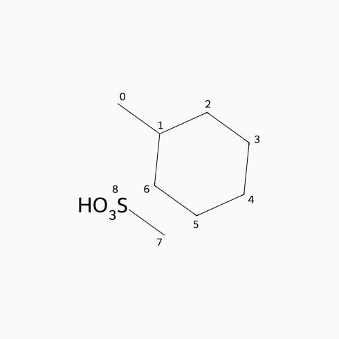 CC1CCCCC1.CS(=O)(=O)O